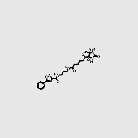 O=C(CCCC[C@H]1SC[C@H]2NC(=O)N[C@H]21)NCCCNC(=O)c1cc(-c2ccccc2)on1